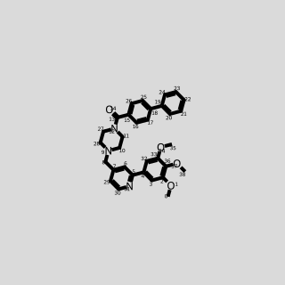 COc1cc(-c2cc(CN3CCN(C(=O)c4ccc(-c5ccccc5)cc4)CC3)ccn2)cc(OC)c1OC